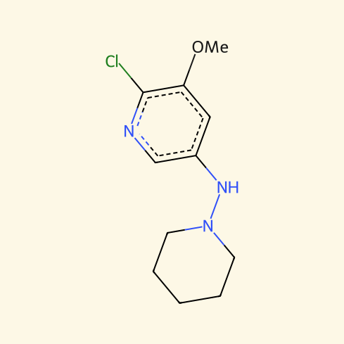 COc1cc(NN2CCCCC2)cnc1Cl